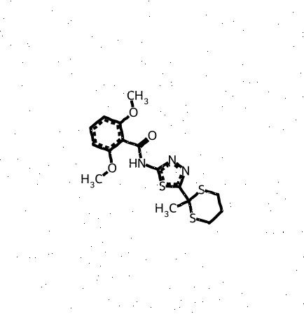 COc1cccc(OC)c1C(=O)Nc1nnc(C2(C)SCCCS2)s1